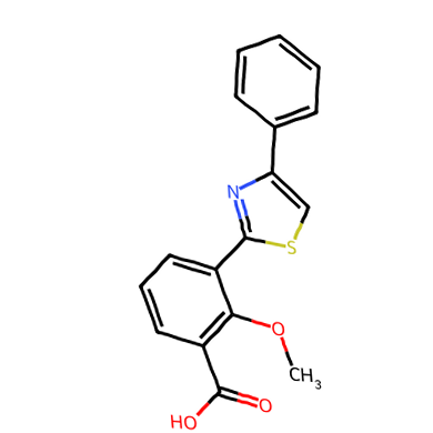 COc1c(C(=O)O)cccc1-c1nc(-c2ccccc2)cs1